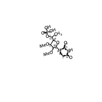 COC1C(OC)[C@H](n2ccc(=O)[nH]c2=O)O[C@@H]1C(C)OP(=O)(O)O